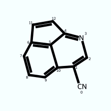 N#Cc1cnc2c3c(cccc13)C=C2